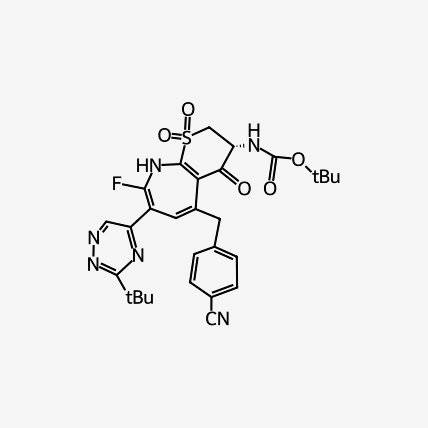 CC(C)(C)OC(=O)N[C@H]1CS(=O)(=O)C2=C(C1=O)C(Cc1ccc(C#N)cc1)=CC(c1cnnc(C(C)(C)C)n1)=C(F)N2